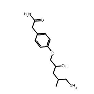 CC(CN)CC(O)COc1ccc(CC(N)=O)cc1